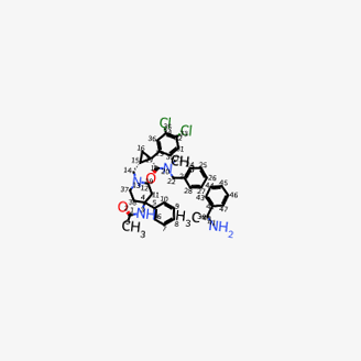 CC(=O)NC1(c2ccccc2)CCN(C[C@@H]2C[C@@]2(C(=O)N(C)Cc2ccccc2)c2ccc(Cl)c(Cl)c2)CC1.C[C@@H](N)c1ccccc1